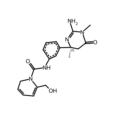 CN1C(=O)C[C@@](C)(c2cccc(NC(=O)N3CC=CC=C3CO)c2)N=C1N